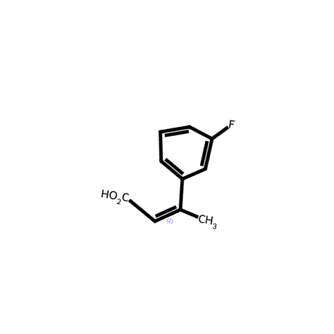 C/C(=C/C(=O)O)c1cccc(F)c1